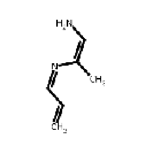 C=C/C=N\C(C)=C/N